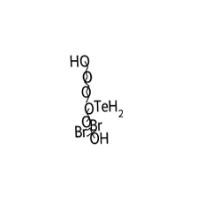 CC(C)(O)C(Br)(Br)OCCOCCOCCOCCO.[TeH2]